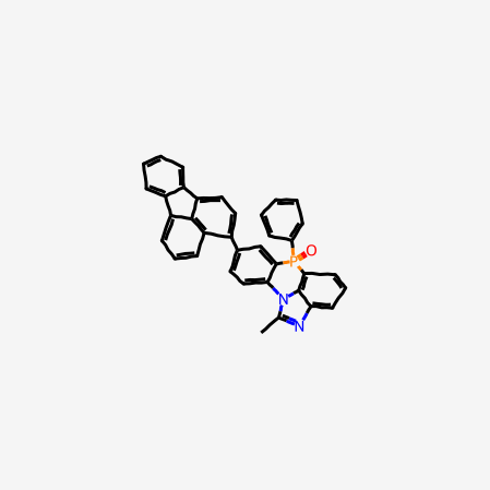 Cc1nc2cccc3c2n1-c1ccc(-c2ccc4c5c(cccc25)-c2ccccc2-4)cc1P3(=O)c1ccccc1